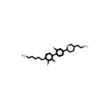 CCCCCCc1ccc(-c2ccc(C3CCC(CCC)CO3)cc2F)c(F)c1F